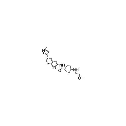 COCCN[C@H]1CC[C@H](C(=O)Nc2cc3cc(-c4cnn(C)c4)ccc3cn2)CC1